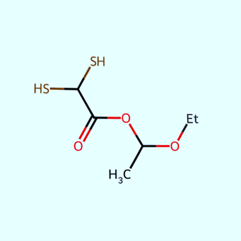 CCOC(C)OC(=O)C(S)S